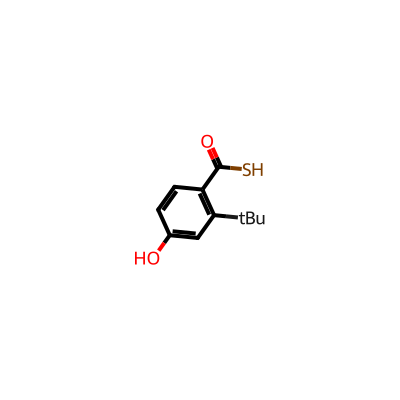 CC(C)(C)c1cc(O)ccc1C(=O)S